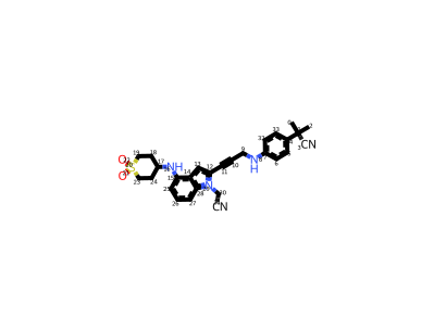 CC(C)(C#N)c1ccc(NCC#Cc2cc3c(NC4CCS(=O)(=O)CC4)cccc3n2CC#N)cc1